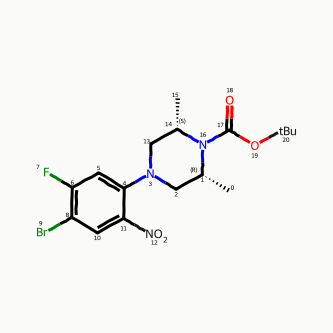 C[C@@H]1CN(c2cc(F)c(Br)cc2[N+](=O)[O-])C[C@H](C)N1C(=O)OC(C)(C)C